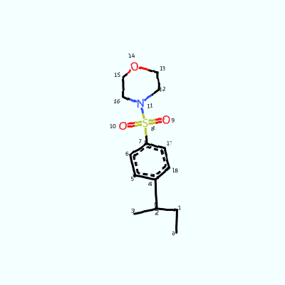 CCC(C)c1ccc(S(=O)(=O)N2CCOCC2)cc1